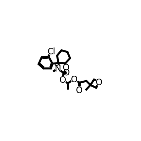 CC(OC(=O)CC1(C)COC1)OC(=O)N(C)[C@]1(c2ccccc2Cl)CCCCC1=O